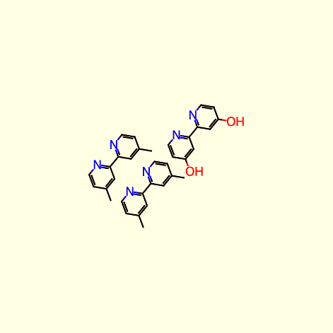 Cc1ccnc(-c2cc(C)ccn2)c1.Cc1ccnc(-c2cc(C)ccn2)c1.Oc1ccnc(-c2cc(O)ccn2)c1